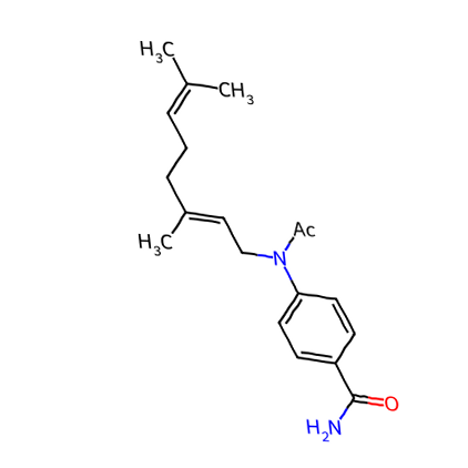 CC(=O)N(C/C=C(\C)CCC=C(C)C)c1ccc(C(N)=O)cc1